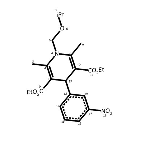 CCOC(=O)C1=C(C)N(COC(C)C)C(C)=C(C(=O)OCC)C1c1cccc([N+](=O)[O-])c1